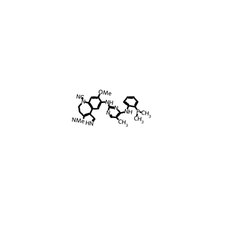 CNC1=C(C=N)c2cc(Nc3ncc(C)c(Nc4ccccc4P(C)C)n3)c(OC)cc2N(C#N)CC1